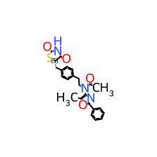 CC(=O)N(CCc1ccc(C[C@@H]2SC(=O)NC2=O)cc1)c1nc(-c2ccccc2)oc1C